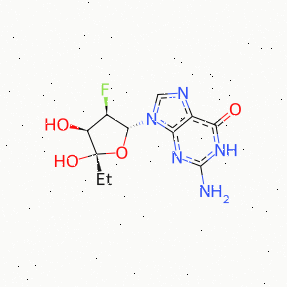 CC[C@]1(O)O[C@@H](n2cnc3c(=O)[nH]c(N)nc32)[C@H](F)[C@@H]1O